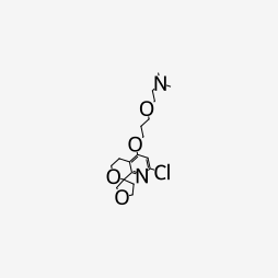 CN(C)CCOCCCOc1cc(Cl)nc2c1CCOC21CCOC1